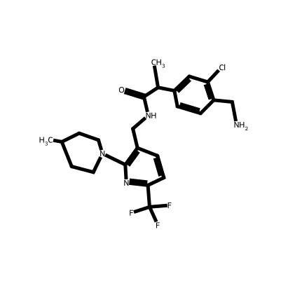 CC1CCN(c2nc(C(F)(F)F)ccc2CNC(=O)C(C)c2ccc(CN)c(Cl)c2)CC1